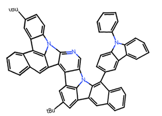 CC(C)(C)c1ccc2c(c1)c1c3ccccc3cc3c4c5c6cc(C(C)(C)C)cc7c8cc9ccccc9c(-c9ccc%10c(c9)c9ccccc9n%10-c9ccccc9)c8n(c5cnc4n2c31)c76